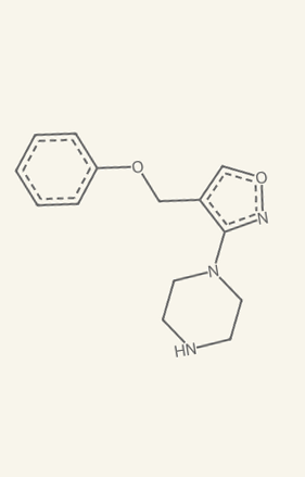 c1ccc(OCc2conc2N2CCNCC2)cc1